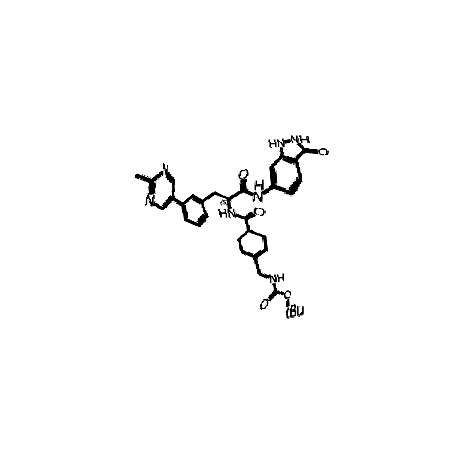 Cc1ncc(-c2cccc(C[C@H](NC(=O)C3CCC(CNC(=O)OC(C)(C)C)CC3)C(=O)Nc3ccc4c(=O)[nH][nH]c4c3)c2)cn1